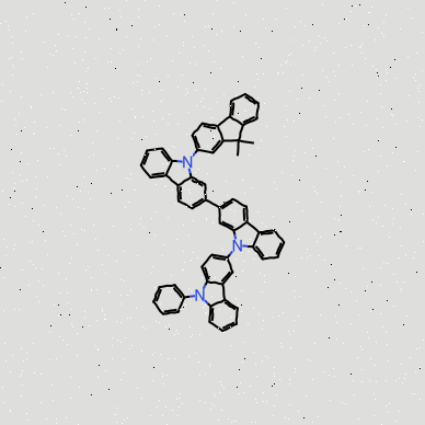 CC1(C)c2ccccc2-c2ccc(-n3c4ccccc4c4ccc(-c5ccc6c7ccccc7n(-c7ccc8c(c7)c7ccccc7n8-c7ccccc7)c6c5)cc43)cc21